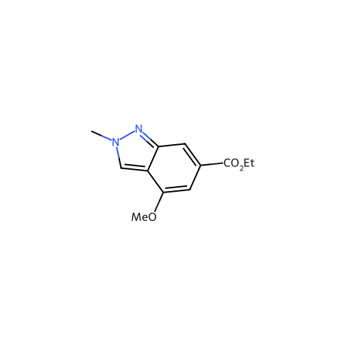 CCOC(=O)c1cc(OC)c2cn(C)nc2c1